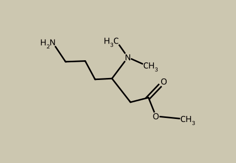 COC(=O)CC(CCCN)N(C)C